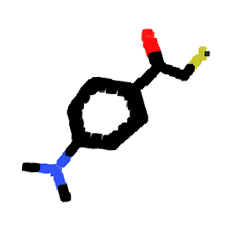 CN(C)c1ccc(C(=O)C[S])cc1